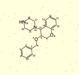 c1ccc(COC2COc3ccccc3C2N2CCNCC2)cc1